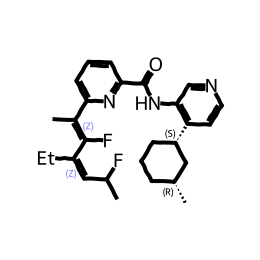 CCC(=C/C(C)F)/C(F)=C(\C)c1cccc(C(=O)Nc2cnccc2[C@H]2CCC[C@@H](C)C2)n1